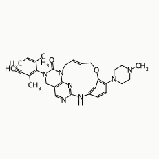 C#C/C(C)=C(\C(C)=C/C)N1Cc2cnc3nc2N(C/C=C/COc2cc(ccc2N2CCN(C)CC2)N3)C1=O